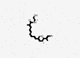 CC(/C=C/C=C\C=C\C=C(/C)C(=O)N[C@@H](C)CO)=C\[C@@H](C)[C@@H](O)/C(C)=C/C(C)C